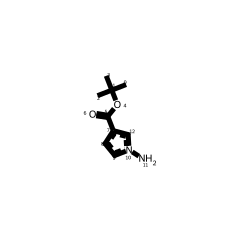 CC(C)(C)OC(=O)c1ccn(N)c1